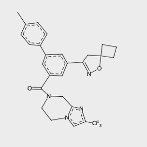 Cc1ccc(-c2cc(C(=O)N3CCn4cc(C(F)(F)F)nc4C3)cc(C3=NOC4(CCC4)C3)c2)cc1